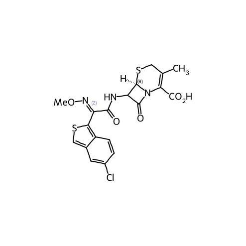 CO/N=C(/C(=O)NC1C(=O)N2C(C(=O)O)=C(C)CS[C@H]12)c1scc2cc(Cl)ccc12